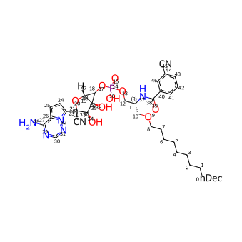 CCCCCCCCCCCCCCCCCCOC[C@H](COP(=O)(O)OC1[C@H]2O[C@@](C#N)(c3ccc4c(N)ncnn34)[C@H](O)[C@@]12O)NC(=O)c1cccc(C#N)c1